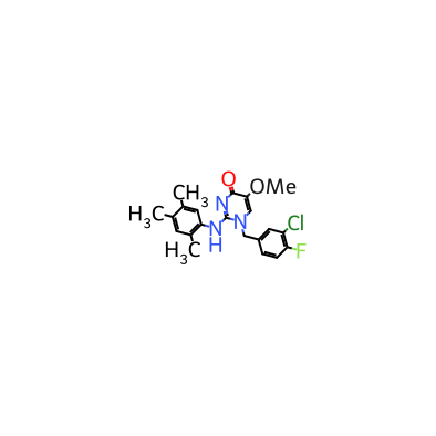 COc1cn(Cc2ccc(F)c(Cl)c2)c(Nc2cc(C)c(C)cc2C)nc1=O